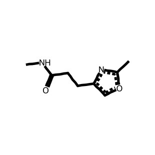 CNC(=O)CCc1coc(C)n1